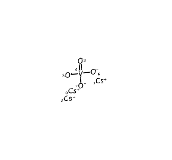 [Cs+].[Cs+].[Cs+].[O]=[V]([O-])([O-])[O-]